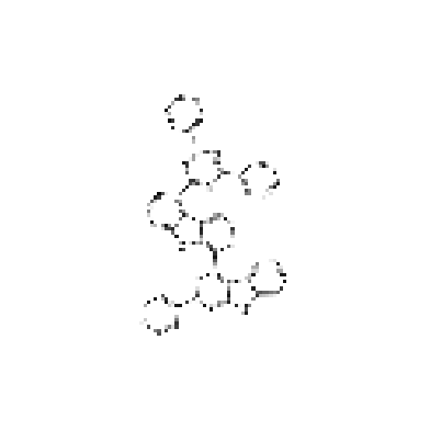 c1ccc(-c2cc(-c3cccc4c3oc3cccc(-c5nc(-c6ccccc6)nc(-c6ccccc6)n5)c34)c3c(c2)sc2ccccc23)cc1